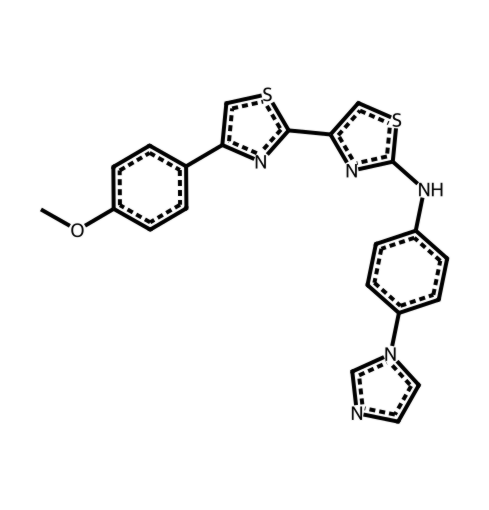 COc1ccc(-c2csc(-c3csc(Nc4ccc(-n5ccnc5)cc4)n3)n2)cc1